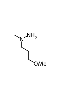 COCCCN(C)N